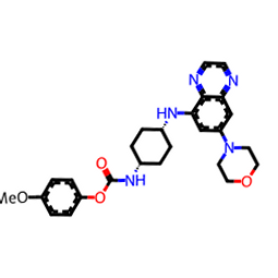 COc1ccc(OC(=O)N[C@H]2CC[C@@H](Nc3cc(N4CCOCC4)cc4nccnc34)CC2)cc1